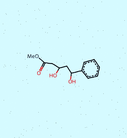 COC(=O)CC(O)CC(O)c1ccccc1